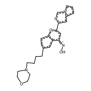 O/N=c1/cc(-c2cc3cccn3cn2)oc2ccc(CCCCN3CCOCC3)cc12